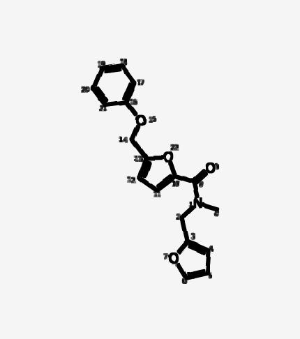 CN(Cc1ccco1)C(=O)c1ccc(COc2ccccc2)o1